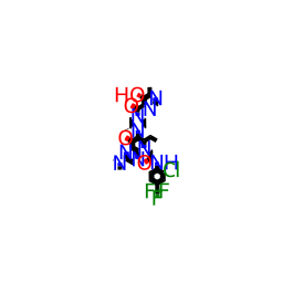 CCc1c(N2CCN(C(=O)c3ncnc(C)c3O)C[C@H]2C)c(=O)c2nc(N(C)C)cnc2n1CC(=O)Nc1ccc(C(F)(F)F)cc1Cl